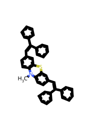 CN1c2ccc(C=C(c3ccccc3)c3ccccc3)cc2Sc2cc(C=C(c3ccccc3)c3ccccc3)ccc21